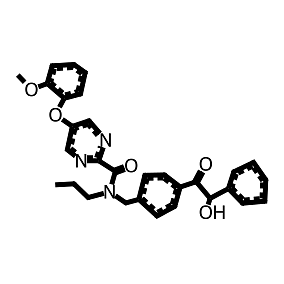 CCCN(Cc1ccc(C(=O)C(O)c2ccccc2)cc1)C(=O)c1ncc(Oc2ccccc2OC)cn1